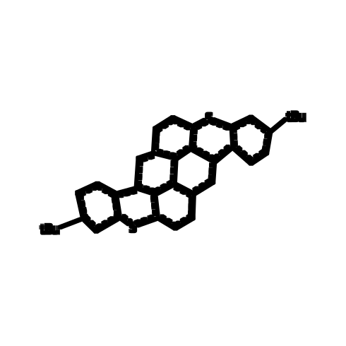 CC(C)(C)c1ccc2c(c1)sc1ccc3cc4c5ccc(C(C)(C)C)cc5sc5ccc6cc2c1c3c6c54